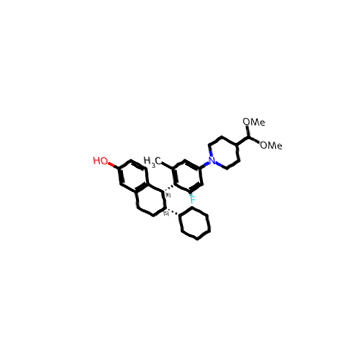 COC(OC)C1CCN(c2cc(C)c([C@H]3c4ccc(O)cc4CC[C@H]3C3CCCCC3)c(F)c2)CC1